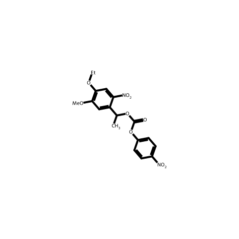 CCOc1cc([N+](=O)[O-])c(C(C)OC(=O)Oc2ccc([N+](=O)[O-])cc2)cc1OC